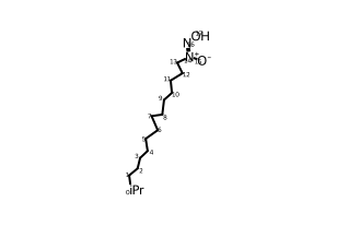 CC(C)CCCCCCCCCCCCC/[N+]([O-])=N/O